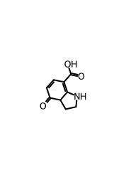 O=C(O)C1=C2NCCC2C(=O)C=C1